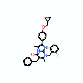 Cc1c(Cc2ccccc2)c(=O)n2c(C)c(-c3ccc(OCC4CC4)cc3)nc2n1Cc1c(F)cccc1F